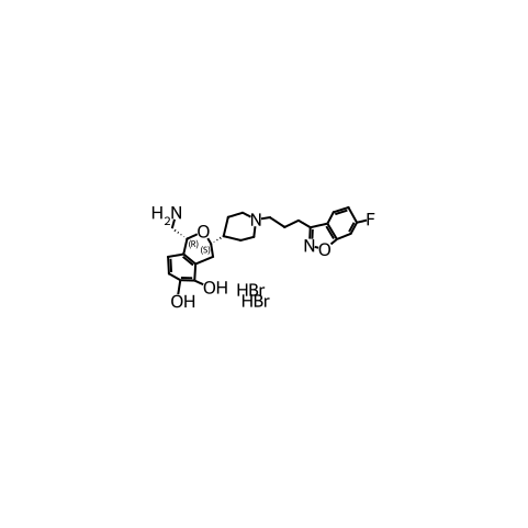 Br.Br.NC[C@@H]1O[C@H](C2CCN(CCCc3noc4cc(F)ccc34)CC2)Cc2c1ccc(O)c2O